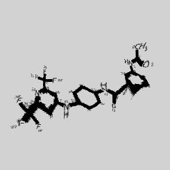 CC(=O)Nc1cccc(C(=O)NC2CCC(Nc3cc(C(F)(F)F)nc(C(F)(F)F)c3)CC2)c1